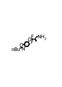 C=C(CN)C(F)(F)Oc1ccc2nc(CCCC)oc2c1